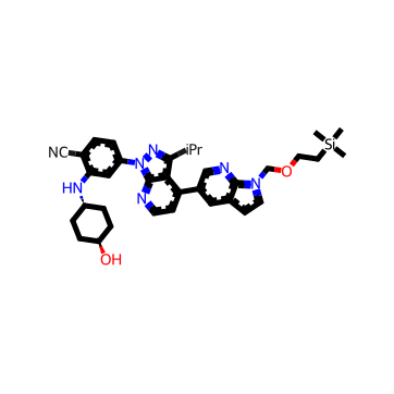 CC(C)c1nn(-c2ccc(C#N)c(N[C@H]3CC[C@H](O)CC3)c2)c2nccc(-c3cnc4c(ccn4COCC[Si](C)(C)C)c3)c12